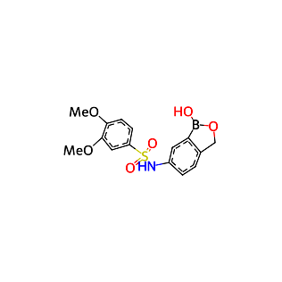 COc1ccc(S(=O)(=O)Nc2ccc3c(c2)B(O)OC3)cc1OC